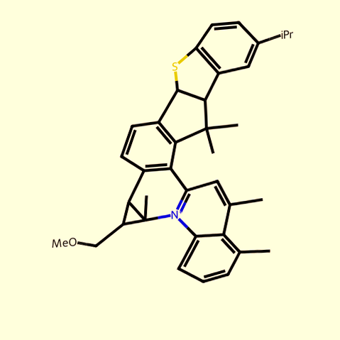 COCC1C2c3ccc4c(c3-c3cc(C)c5c(C)cccc5[n+]3C12C)C(C)(C)C1c2cc(C(C)C)ccc2SC41